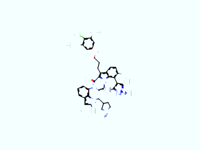 Cc1cc(OCCCc2c3n(c4c(-c5c(C)nn(C)c5C)c(Cl)ccc24)C(C)CN(c2cccc4cc(C(=O)O)n(CC5CCN(C)C5)c24)C3=O)cc(C)c1Cl